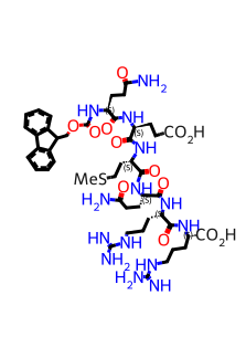 CSCC[C@H](NC(=O)[C@H](CCC(=O)O)NC(=O)[C@H](CCC(N)=O)NC(=O)OCC1c2ccccc2-c2ccccc21)C(=O)N[C@@H](CCC(N)=O)C(=O)N[C@@H](CCCNC(=N)N)C(=O)N[C@@H](CCCNC(=N)N)C(=O)O